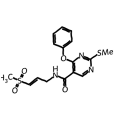 CSc1ncc(C(=O)NCC=CS(C)(=O)=O)c(Oc2ccccc2)n1